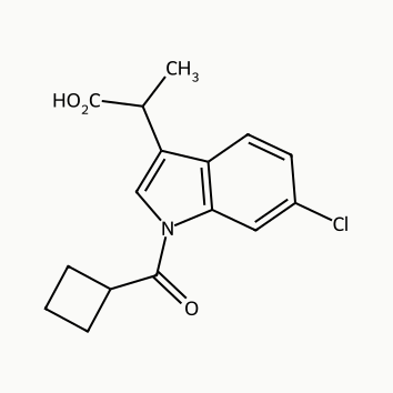 CC(C(=O)O)c1cn(C(=O)C2CCC2)c2cc(Cl)ccc12